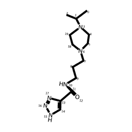 CC(C)N1CCN(CCCNC(=O)c2c[nH]nn2)CC1